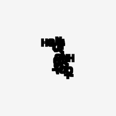 CC(C)(C)OC(=O)CC(NC(=O)Cc1ccc(O)c2nccn12)C(=O)OC(C)(C)C